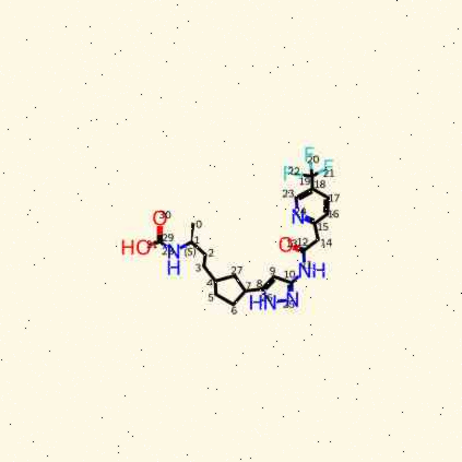 C[C@@H](CCC1CCC(c2cc(NC(=O)Cc3ccc(C(F)(F)F)cn3)n[nH]2)C1)NC(=O)O